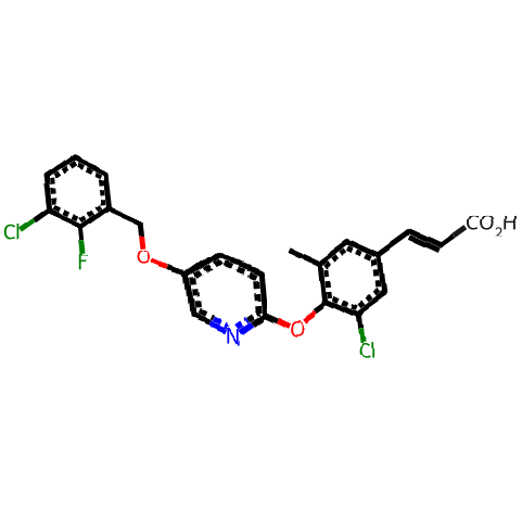 Cc1cc(/C=C/C(=O)O)cc(Cl)c1Oc1ccc(OCc2cccc(Cl)c2F)cn1